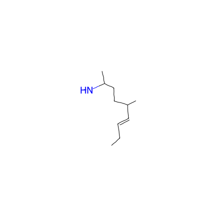 CC/C=C/C(C)CCC(C)NC